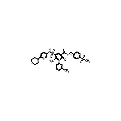 Cc1c(S(=O)(=O)Nc2ccc(N3CCOCC3)nc2)cc(C(=O)NCc2ccc(S(C)(=O)=O)cc2)c(=O)n1-c1cccc(C(F)(F)F)c1